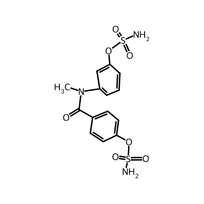 CN(C(=O)c1ccc(OS(N)(=O)=O)cc1)c1cccc(OS(N)(=O)=O)c1